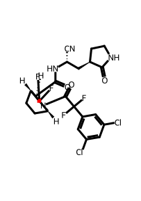 N#C[C@H](C[C@H]1CCNC1=O)NC(=O)[C@@H]1[C@H]2CC[C@H](CC2(F)F)N1C(=O)C(F)(F)c1cc(Cl)cc(Cl)c1